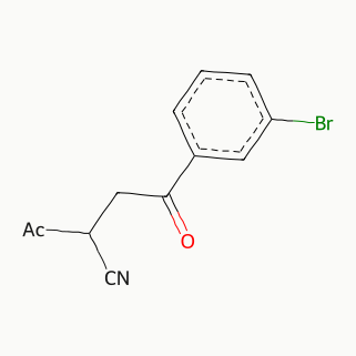 CC(=O)C(C#N)CC(=O)c1cccc(Br)c1